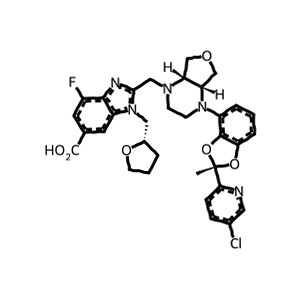 C[C@]1(c2ccc(Cl)cn2)Oc2cccc(N3CCN(Cc4nc5c(F)cc(C(=O)O)cc5n4C[C@@H]4CCCO4)[C@@H]4COC[C@@H]43)c2O1